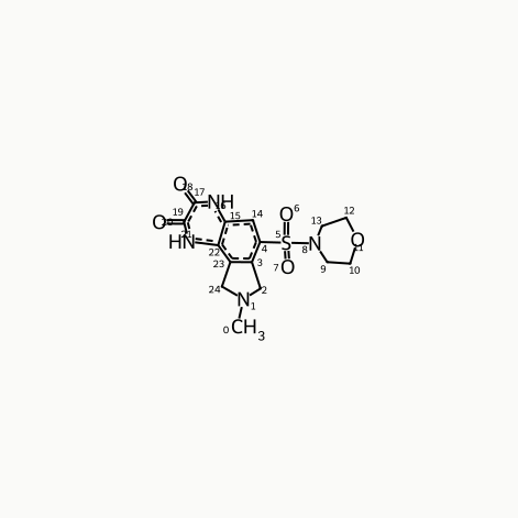 CN1Cc2c(S(=O)(=O)N3CCOCC3)cc3[nH]c(=O)c(=O)[nH]c3c2C1